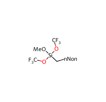 CCCCCCCCCC[Si](OC)(OC(F)(F)F)OC(F)(F)F